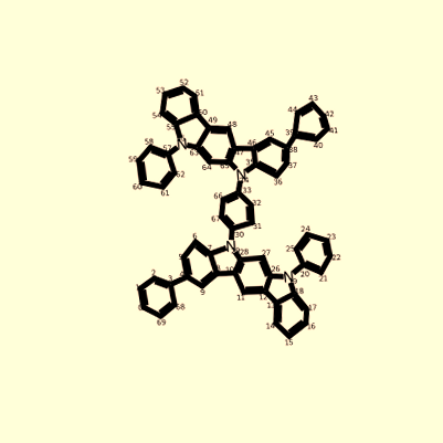 c1ccc(-c2ccc3c(c2)c2cc4c5ccccc5n(-c5ccccc5)c4cc2n3-c2ccc(-n3c4ccc(-c5ccccc5)cc4c4cc5c6ccccc6n(-c6ccccc6)c5cc43)cc2)cc1